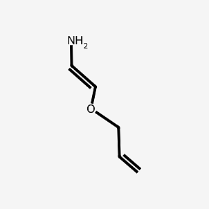 C=CCOC=CN